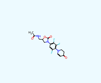 CC(=O)NCC1CN(c2cc(F)c(N3C=CC(=O)CC3)c(F)c2F)C(=O)O1